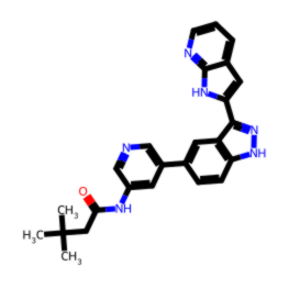 CC(C)(C)CC(=O)Nc1cncc(-c2ccc3[nH]nc(-c4cc5cccnc5[nH]4)c3c2)c1